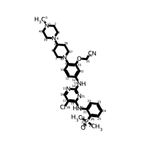 CN1CCN(C2CCN(c3ccc(Nc4ncc(Cl)c(Nc5ccccc5P(C)(C)=O)n4)cc3OCC#N)CC2)CC1